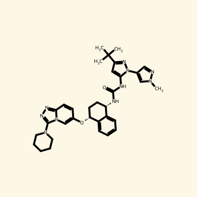 Cn1cc(-n2nc(C(C)(C)C)cc2NC(=O)N[C@H]2CC[C@@H](Oc3ccc4nnc(N5CCCCC5)n4c3)c3ccccc32)cn1